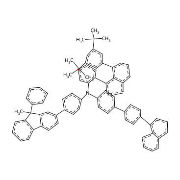 CC(C)(C)c1cc(-c2cccc3cccc(-c4ccccc4N(c4ccc(-c5ccc(-c6cccc7ccccc67)cc5)cc4)c4ccc(-c5ccc6c(c5)C(C)(c5ccccc5)c5ccccc5-6)cc4)c23)cc(C(C)(C)C)c1